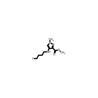 COC(=O)c1nn(C)cc1NCCCCF